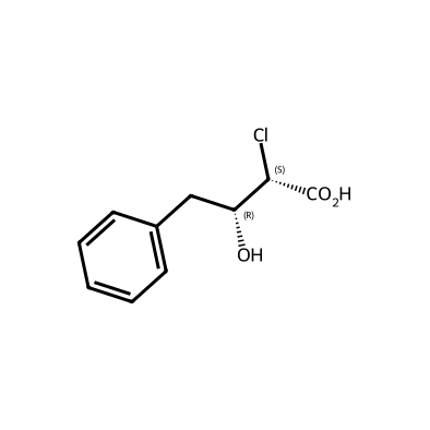 O=C(O)[C@@H](Cl)[C@H](O)Cc1ccccc1